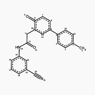 Cc1ccc(-c2ccc(=O)n(CC(=O)Nc3cccc(C#N)c3)n2)cc1